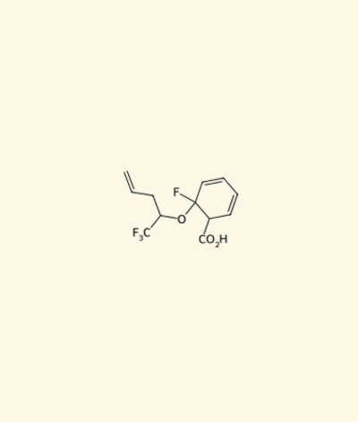 C=CCC(OC1(F)C=CC=CC1C(=O)O)C(F)(F)F